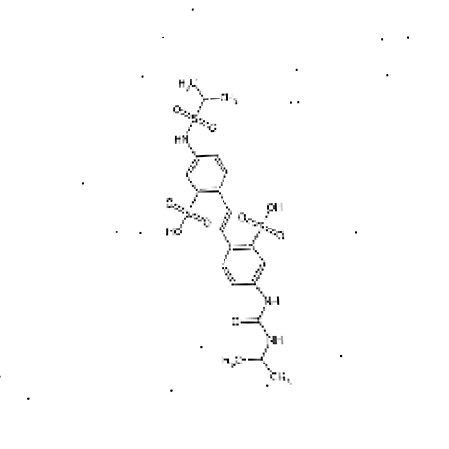 CC(C)NC(=O)Nc1ccc(C=Cc2ccc(NS(=O)(=O)C(C)C)cc2S(=O)(=O)O)c(S(=O)(=O)O)c1